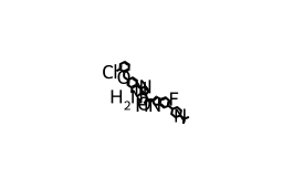 Cc1cc(Oc2ccccc2Cl)ccc1-n1ncc(C(=O)c2cc3cc(F)c(C4CCN(C(C)C)CC4)cc3[nH]2)c1N